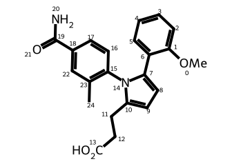 COc1ccccc1-c1ccc(CCC(=O)O)n1-c1ccc(C(N)=O)cc1C